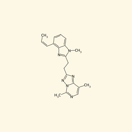 C/C=C\c1cccc2c1nc(CCc1nc3c(C)cnc(C)n3n1)n2C